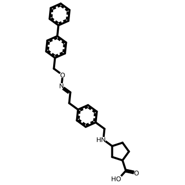 O=C(O)C1CCC(NCc2ccc(CC=NOCc3ccc(-c4ccccc4)cc3)cc2)C1